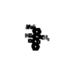 CSc1ccc2c(c1)c(O)c(C(=O)c1ccccc1)c(=O)n2C